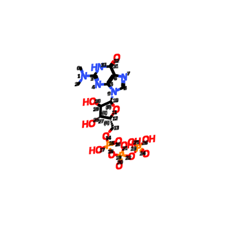 CN(C)c1nc2c(ncn2[C@@H]2O[C@H](COP(=O)(O)OP(=O)(O)OP(=O)(O)O)[C@H](O)C2O)c(=O)[nH]1